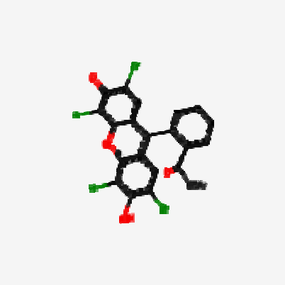 COC(=O)c1ccccc1-c1c2cc(Br)c(=O)c(Br)c-2oc2c(Br)c(O)c(Br)cc12